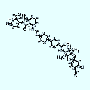 CC1(C)C(NC(=O)c2ccc(N3CCN(CCNc4cccc5c4C(=O)N(C4CCC(=O)NC46COC6)C5=O)CC3)cn2)C(C)(C)C1Oc1ccc(C#N)c(Cl)c1